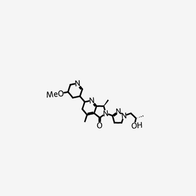 COC1CN=CC(C2CC(C)=C3C(=O)N(C4=NN(C[C@H](C)O)CC4)[C@H](C)C3=N2)C1